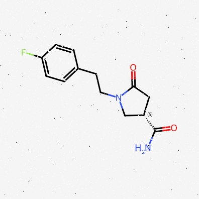 NC(=O)[C@H]1CC(=O)N(CCc2ccc(F)cc2)C1